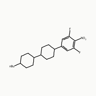 CCCCC1CCC(C2CCC(c3cc(F)c([N+](=O)[O-])c(F)c3)CC2)CC1